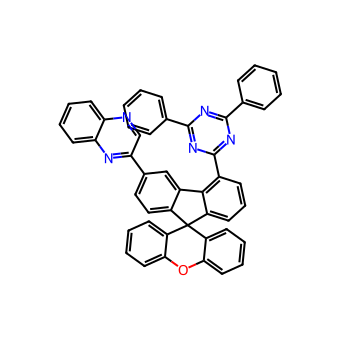 c1ccc(-c2nc(-c3ccccc3)nc(-c3cccc4c3-c3cc(-c5cnc6ccccc6n5)ccc3C43c4ccccc4Oc4ccccc43)n2)cc1